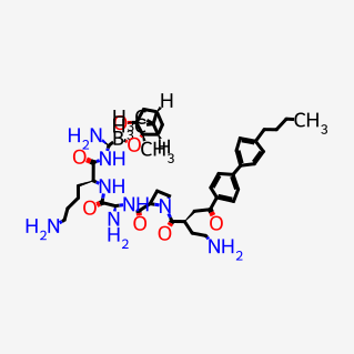 CCCCc1ccc(-c2ccc(C(=O)C[C@@H](CCN)C(=O)N3CCC3C(=O)N[C@@H](N)C(=O)N[C@@H](CCCCN)C(=O)N[C@@H](N)B3OC4C[C@@H]5C[C@@H](C5(C)C)[C@]4(C)O3)cc2)cc1